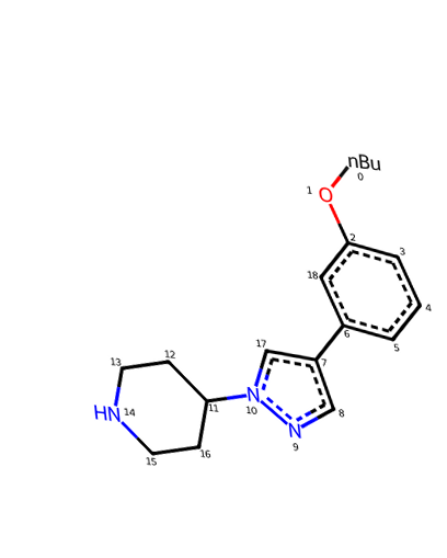 CCCCOc1cccc(-c2cnn(C3CCNCC3)c2)c1